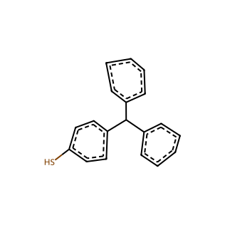 Sc1ccc(C(c2ccccc2)c2ccccc2)cc1